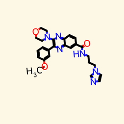 COc1cccc(-c2nc3cc(C(=O)NCCCn4ccnc4)ccc3nc2N2CCOCC2)c1